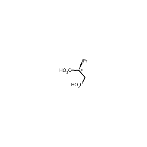 CC(C)[C@@H](CC(=O)O)C(=O)O